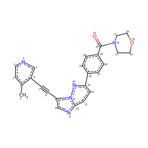 Cc1ccncc1C#Cc1cnc2ccc(-c3ccc(C(=O)N4CCOCC4)cc3)nn12